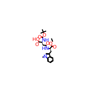 CCOC(=O)[C@@H](Cc1cn(C)c2ccccc12)NC(=O)C[C@H](NC(=O)OC(C)(C)C)C(=O)O